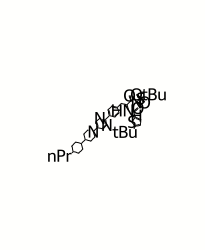 CCCC1CCC(C2CCN(c3cnc(-c4ccc(CC(NC(=O)c5ccc(C(C)(C)C)s5)C(=O)NS(=O)(=O)C(C)(C)C)cc4)nc3)CC2)CC1